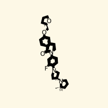 C[C@H]1CCCN1[C@H]1CCN(c2ccc(-n3ccc4cc(OC[C@H]5CCCO5)ccc4c3=O)cc2F)C1